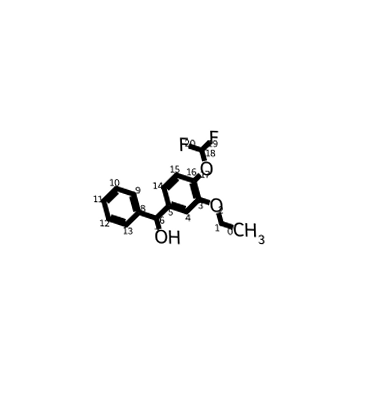 CCOc1cc(C(O)c2ccccc2)ccc1OC(F)F